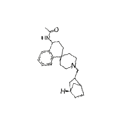 CC(=O)N[C@H]1CCC2(CCN(C[C@@H]3C[C@H]4C=CC3C4)CC2)c2ccccc21